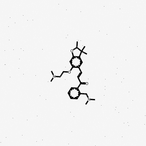 CC1Oc2cc(OCCN(C)C)c(C=CC(=O)c3ccccc3CN(C)C)cc2C1(C)C